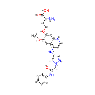 COc1cc2c(Nc3cnn(CC(=O)Nc4ccccc4)c3)ccnc2cc1OCCC(N)C(=O)O